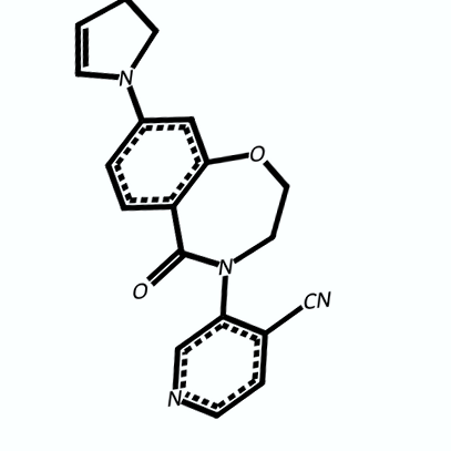 N#Cc1ccncc1N1CCOc2cc(N3C=CCC3)ccc2C1=O